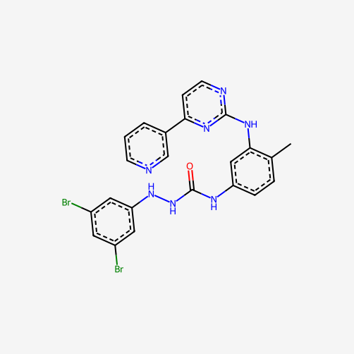 Cc1ccc(NC(=O)NNc2cc(Br)cc(Br)c2)cc1Nc1nccc(-c2cccnc2)n1